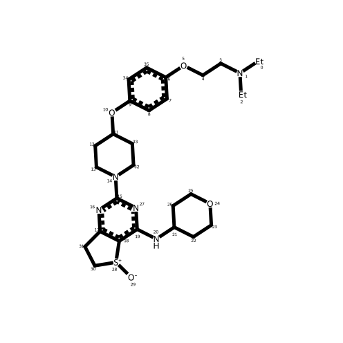 CCN(CC)CCOc1ccc(OC2CCN(c3nc4c(c(NC5CCOCC5)n3)[S+]([O-])CC4)CC2)cc1